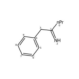 CCCC(=N)Cc1c[c]ccc1